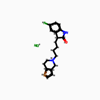 Cl.O=C1Nc2ccc(F)cc2C1CCCCN1CCc2sccc2C1